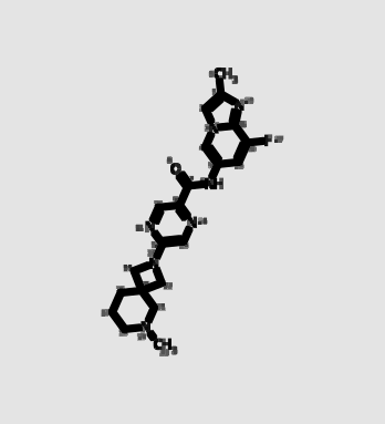 Cc1cn2cc(NC(=O)c3cnc(N4CC5(CCCN(C)C5)C4)cn3)cc(F)c2n1